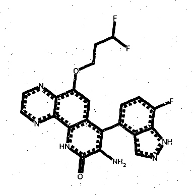 Nc1c(-c2ccc(F)c3[nH]ncc23)c2cc(OCCC(F)F)c3nccnc3c2[nH]c1=O